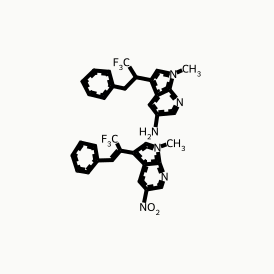 Cn1cc(C(=Cc2ccccc2)C(F)(F)F)c2cc([N+](=O)[O-])cnc21.Cn1cc(C(Cc2ccccc2)C(F)(F)F)c2cc(N)cnc21